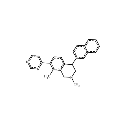 Cc1c(-c2ccncn2)ccc2c1CN(C)CC2c1ccc2ccccc2c1